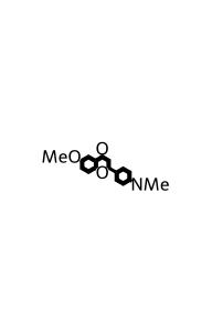 CNc1ccc(-c2cc(=O)c3cc(OC)ccc3o2)cc1